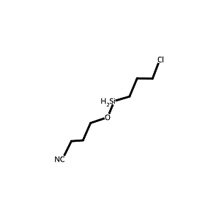 N#CCCCO[SiH2]CCCCl